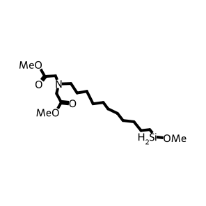 CO[SiH2]CCCCCCCCCCCN(CC(=O)OC)CC(=O)OC